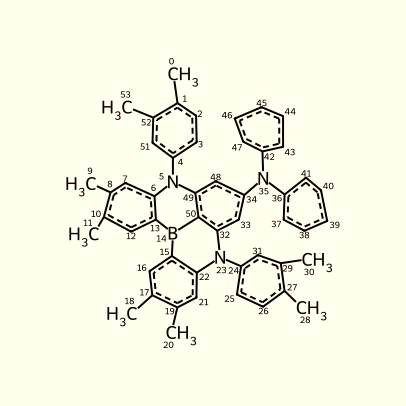 Cc1ccc(N2c3cc(C)c(C)cc3B3c4cc(C)c(C)cc4N(c4ccc(C)c(C)c4)c4cc(N(c5ccccc5)c5ccccc5)cc2c43)cc1C